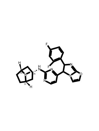 CN1[C@@H]2CC[C@H]1C[C@@H](Nc1nccc(C3C(c4ccc(F)cc4F)N=C4OC=CN43)n1)C2